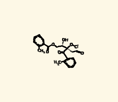 Cc1ccccc1C(=O)OC[C@H](O)[C@@](CC=O)(OCl)C(=O)c1ccccc1C